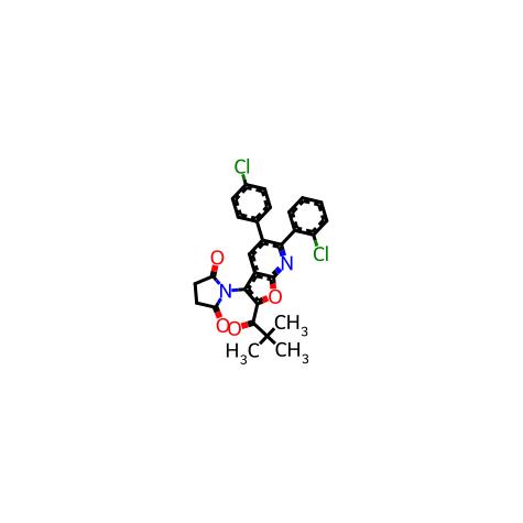 CC(C)(C)C(=O)c1oc2nc(-c3ccccc3Cl)c(-c3ccc(Cl)cc3)cc2c1N1C(=O)CCC1=O